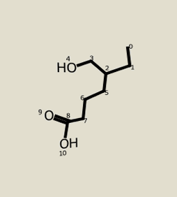 CCC(CO)CCCC(=O)O